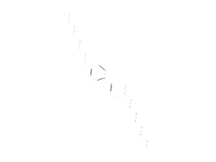 CCCCCCCCc1ccc(C2=CCC(CCCCCCCC)CC2)cc1